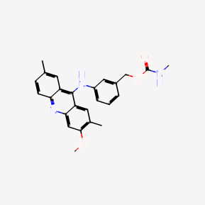 CNC(=O)OCc1cccc(Nc2c3cc(C)ccc3nc3cc(OC)c(C)cc23)c1